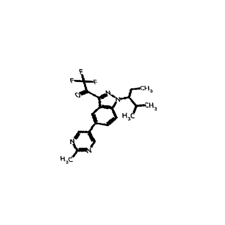 CCC(C(C)C)n1nc(C(=O)C(F)(F)F)c2cc(-c3cnc(C)nc3)ccc21